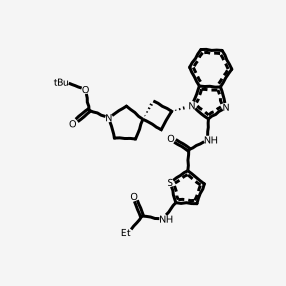 CCC(=O)Nc1ccc(C(=O)Nc2nc3ccccc3n2[C@H]2C[C@@]3(CCN(C(=O)OC(C)(C)C)C3)C2)s1